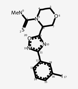 CNC(=S)N1CCOCC1c1nc(-c2cccc(I)c2)no1